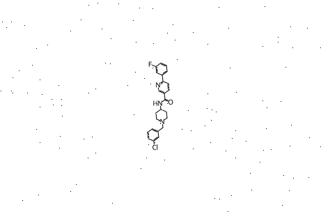 O=C(NC1CCN(Cc2cccc(Cl)c2)CC1)c1ccc(-c2cccc(F)c2)nc1